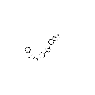 CCOC(=O)C(C)(C)n1cc2ccc(-c3noc(C4CCN(C(=O)C5CC(=O)N(c6ccccc6)C5)CC4)n3)cc2n1